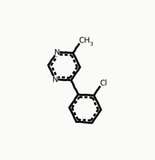 Cc1cc(-c2ccccc2Cl)ncn1